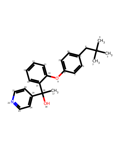 CC(C)(C)Cc1ccc(Oc2ccccc2C(C)(O)c2ccncc2)cc1